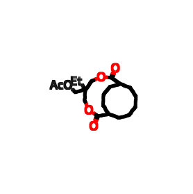 CCC1(COC(C)=O)COC(=O)C2CCCCCC(CCC2)C(=O)OC1